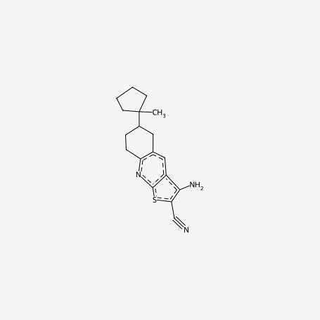 CC1(C2CCc3nc4sc(C#N)c(N)c4cc3C2)CCCC1